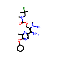 Cc1nc(/C(N)=C(\COC(=O)N(C)CC(C)(C)F)N(C)N)cnc1OC1CCCCC1